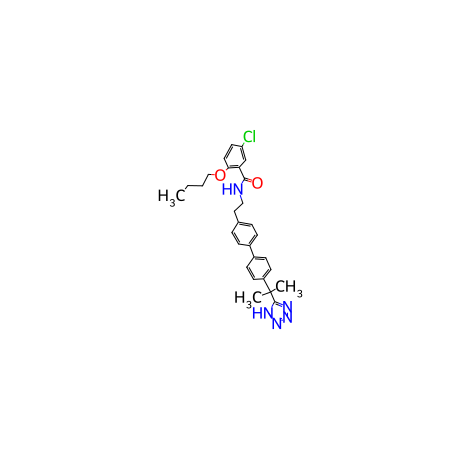 CCCCOc1ccc(Cl)cc1C(=O)NCCc1ccc(-c2ccc(C(C)(C)c3nnn[nH]3)cc2)cc1